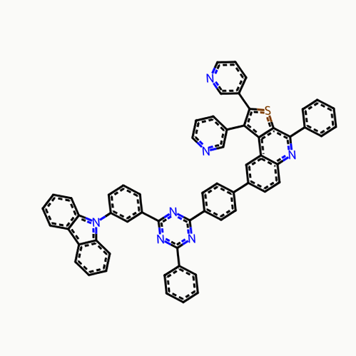 c1ccc(-c2nc(-c3ccc(-c4ccc5nc(-c6ccccc6)c6sc(-c7cccnc7)c(-c7cccnc7)c6c5c4)cc3)nc(-c3cccc(-n4c5ccccc5c5ccccc54)c3)n2)cc1